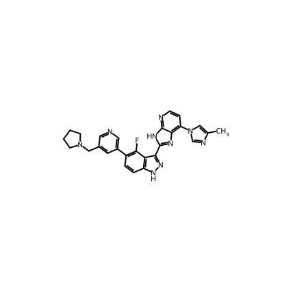 Cc1cn(-c2ccnc3[nH]c(-c4n[nH]c5ccc(-c6cncc(CN7CCCC7)c6)c(F)c45)nc23)cn1